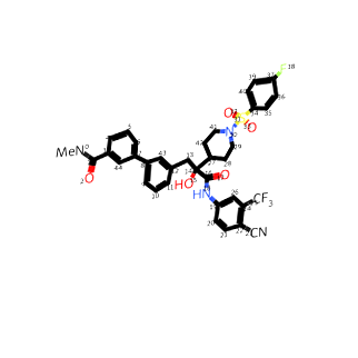 CNC(=O)c1cccc(-c2cccc(CC(O)(C(=O)Nc3ccc(C#N)c(C(F)(F)F)c3)C3CCN(S(=O)(=O)c4ccc(F)cc4)CC3)c2)c1